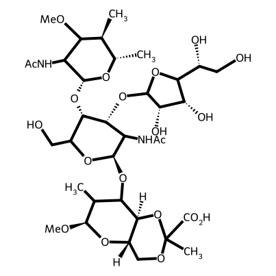 COC1C(NC(C)=O)[C@@H](O[C@H]2C(CO)O[C@H](OC3C(C)[C@H](OC)O[C@H]4COC(C)(C(=O)O)O[C@H]34)C(NC(C)=O)[C@H]2OC2OC([C@H](O)CO)[C@H](O)[C@@H]2O)O[C@@H](C)[C@@H]1C